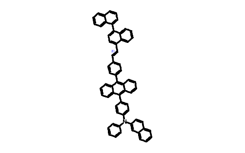 C(=C\c1ccc(-c2cccc3ccccc23)c2ccccc12)/c1ccc(-c2c3ccccc3c(-c3ccc(N(c4ccccc4)c4ccc5ccccc5c4)cc3)c3ccccc23)cc1